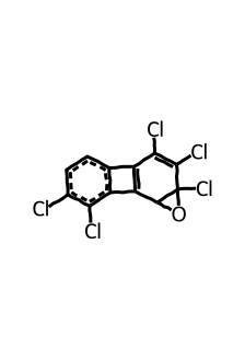 ClC1=C(Cl)C2(Cl)OC2C2=C1c1ccc(Cl)c(Cl)c12